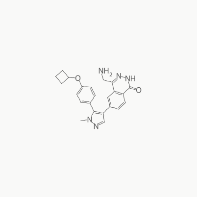 Cn1ncc(-c2ccc3c(=O)[nH]nc(CN)c3c2)c1-c1ccc(OC2CCC2)cc1